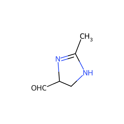 CC1=NC(C=O)CN1